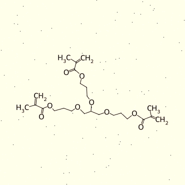 C=C(C)C(=O)OCCCOCC(COCCCOC(=O)C(=C)C)OCCCOC(=O)C(=C)C